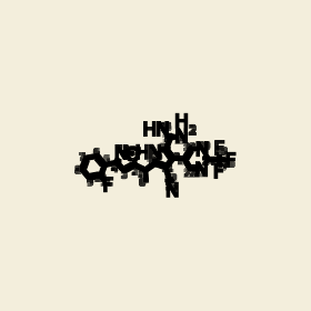 CC(c1cc(-c2ccccc2F)no1)c1[nH]c(C(=N)N)c(-c2cnc(C(F)(F)F)nc2)c1C#N